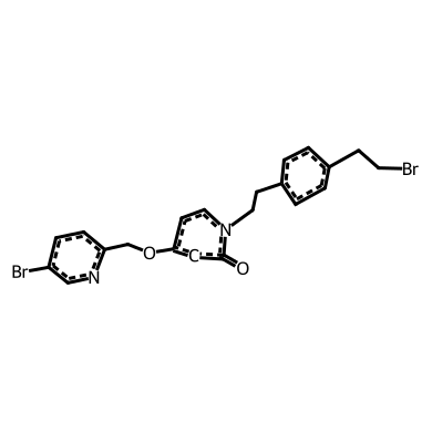 O=c1cc(OCc2ccc(Br)cn2)ccn1CCc1ccc(CCBr)cc1